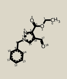 CCOC(=O)c1nn(Cc2ccccc2)cc1C=O